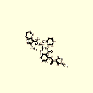 Cc1nn2cccnc2c1C(=O)N[C@H](C)c1nc2cccc(CC(=O)c3cnn(C)c3)c2c(=O)n1-c1ccccc1